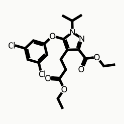 CCOC(=O)CCc1c(C(=O)OCC)nn(C(C)C)c1Oc1cc(Cl)cc(Cl)c1